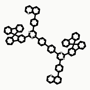 c1ccc2c(c1)-c1ccccc1C21c2ccccc2-c2ccc(-c3nc(-c4ccc(-c5ccc(-c6cc(-c7ccc(-c8cccc9cccnc89)cc7)nc(-c7ccc8c(c7)C7(c9ccccc9-c9ccccc97)c7ccccc7-8)n6)cc5)cc4)cc(-c4ccc(-c5cccc6cccnc56)cc4)n3)cc21